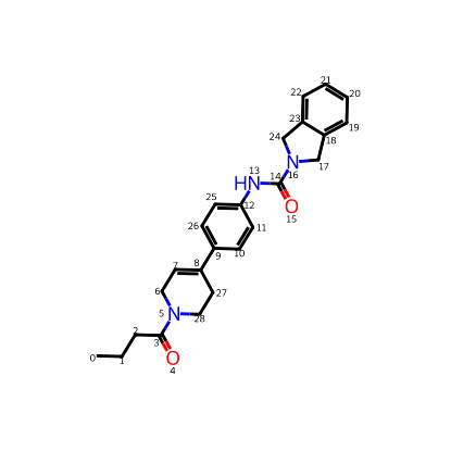 CCCC(=O)N1CC=C(c2ccc(NC(=O)N3Cc4ccccc4C3)cc2)CC1